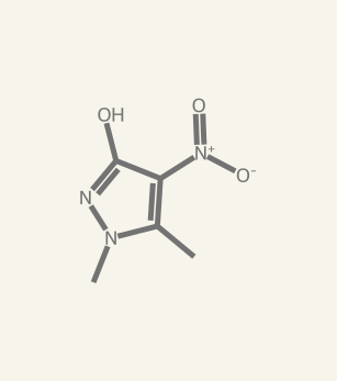 Cc1c([N+](=O)[O-])c(O)nn1C